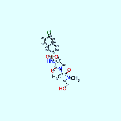 C[C@@H](C(=O)N(C)CCO)N1CC[C@H](NS(=O)(=O)c2ccc3cc(Cl)ccc3c2)C1=O